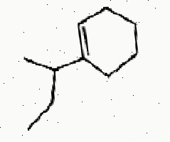 CC[C](C)C1=CCCCC1